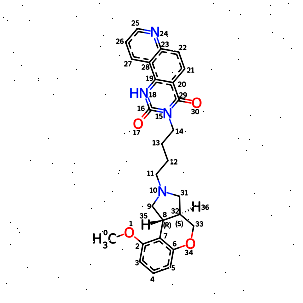 COc1cccc2c1[C@@H]1CN(CCCCn3c(=O)[nH]c4c(ccc5ncccc54)c3=O)C[C@H]1CO2